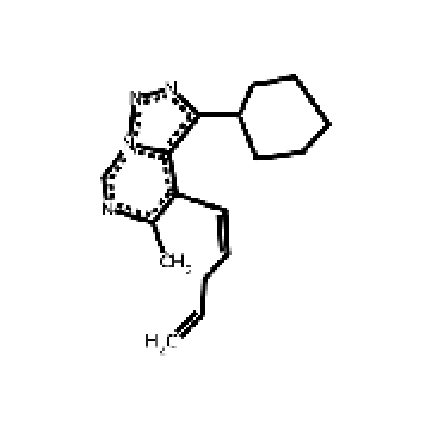 C=CC/C=C\c1c(C)ncn2nnc(C3CCCCC3)c12